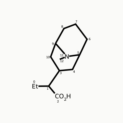 CCC(C(=O)O)C1CC2CCCC(C1)N2C